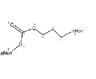 CCCCCCCCCCCCOC(=O)OCCCCCCCCC